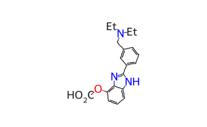 CCN(CC)Cc1cccc(-c2nc3c(OC(=O)O)cccc3[nH]2)c1